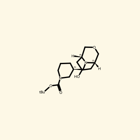 CC(C)(C)OC(=O)N1CCC[C@@H](CN2[C@@H]3COC[C@H]2CC(O)C3)C1